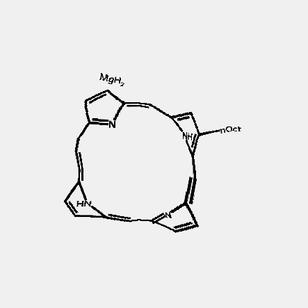 CCCCCCCCc1cc2cc3nc(cc4ccc(cc5nc(cc1[nH]2)C=C5)[nH]4)C=C3.[MgH2]